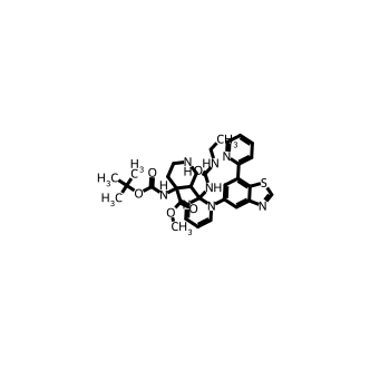 CCNC(=O)NC1(C2CNCCC2(NC(=O)OC(C)(C)C)C(=O)OC)N=CC=CN1c1cc(-c2ccccn2)c2scnc2c1